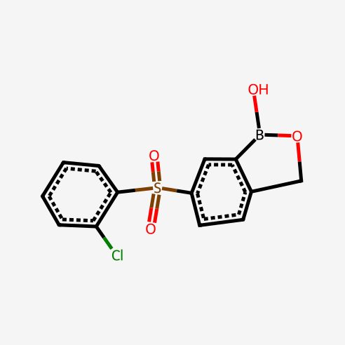 O=S(=O)(c1ccc2c(c1)B(O)OC2)c1ccccc1Cl